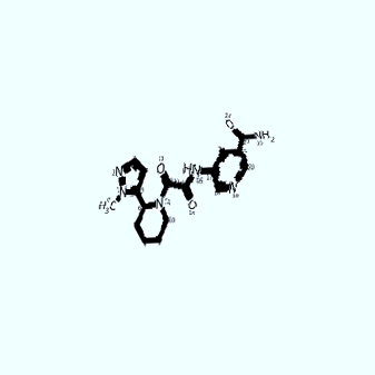 Cn1nccc1C1CCCCN1C(=O)C(=O)Nc1cncc(C(N)=O)c1